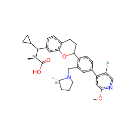 COc1cc(-c2ccc(C3CCc4ccc(C(C5CC5)[C@H](C)C(=O)O)cc4O3)c(CN3CCC[C@@H]3C)c2)c(F)cn1